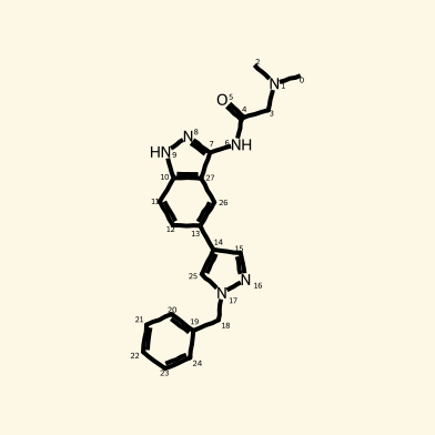 CN(C)CC(=O)Nc1n[nH]c2ccc(-c3cnn(Cc4ccccc4)c3)cc12